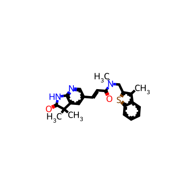 Cc1c(CN(C)C(=O)/C=C/c2cnc3c(c2)C(C)(C)C(=O)N3)sc2ccccc12